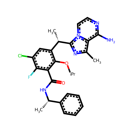 Cc1nc([C@@H](C)c2cc(Cl)c(F)c(C(=O)N[C@@H](C)c3ccccc3)c2OC(C)C)n2ccnc(N)c12